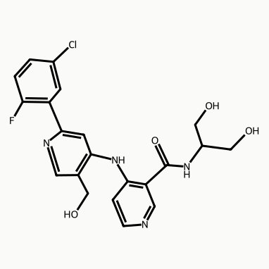 O=C(NC(CO)CO)c1cnccc1Nc1cc(-c2cc(Cl)ccc2F)ncc1CO